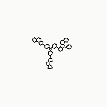 c1ccc(-n2c3cccc(-c4cccc(N(c5ccc(-c6ccc7c(ccc8ccccc87)c6)cc5)c5ccc(-c6ccc7c(ccc8ccccc87)c6)cc5)c4)c3c3ccc4ccccc4c32)cc1